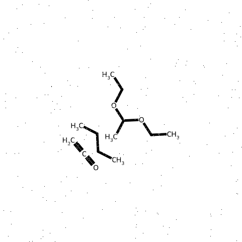 C=C=O.CCCC.CCOC(C)OCC